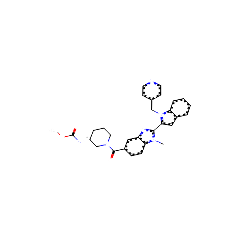 Cn1c(-c2cc3ccccc3n2Cc2ccncc2)nc2cc(C(=O)N3CCC[C@@H](NC(=O)OC(C)(C)C)C3)ccc21